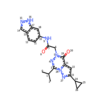 CC(C)c1nn(CC(=O)Nc2ccc3cn[nH]c3c2)c(=O)c2cc(C3CC3)nn12